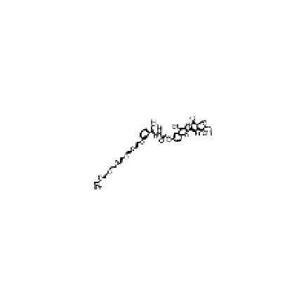 CCC1c2cc(OCC(=O)N/N=C(\C)c3cccc(OCCOCCOCCOCCOCCOCCC(C)C)c3)ccc2N=C2c3cc4c(c(=O)n3CC21)COC(=O)[C@]4(O)CC